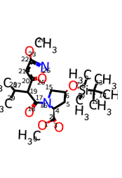 COC(=O)[C@@H]1C[C@@H](O[Si](C)(C)C(C)(C)C)CN1C(=O)C(c1cc(OC)no1)C(C)C